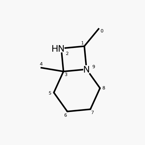 CC1NC2(C)CCCCN12